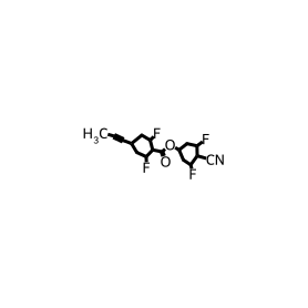 CC#CC1CC(F)C(C(=O)OC2CC(F)C(C#N)C(F)C2)C(F)C1